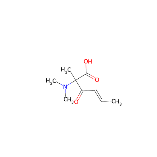 C/C=C/C(=O)C(C)(C(=O)O)N(C)C